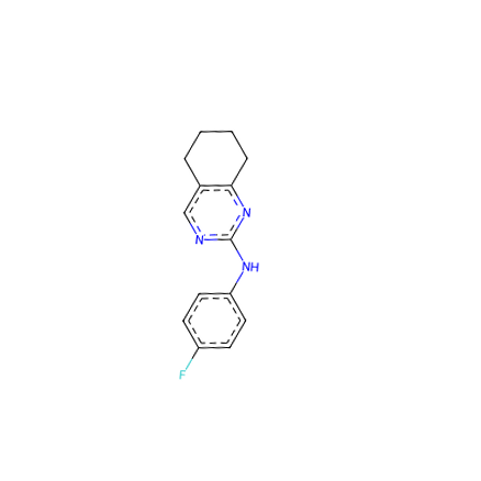 Fc1ccc(Nc2ncc3c(n2)CCCC3)cc1